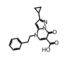 O=C(O)c1cn(CCc2ccccc2)c2cc(C3CC3)nn2c1=O